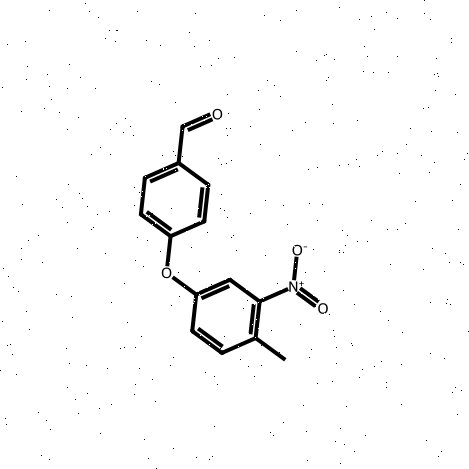 Cc1ccc(Oc2ccc(C=O)cc2)cc1[N+](=O)[O-]